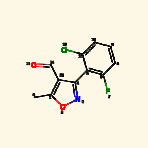 Cc1onc(-c2c(F)cccc2Cl)c1C=O